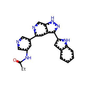 CCC(=O)Nc1cncc(-c2cc3c(-c4cc5ccccc5[nH]4)n[nH]c3cn2)c1